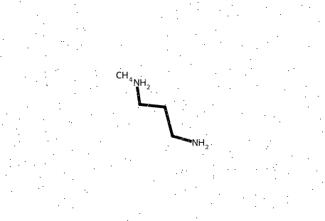 C.NCCCN